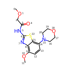 COCC(=O)Nc1nc2c(OC)ccc(N3CCOCC3)c2s1